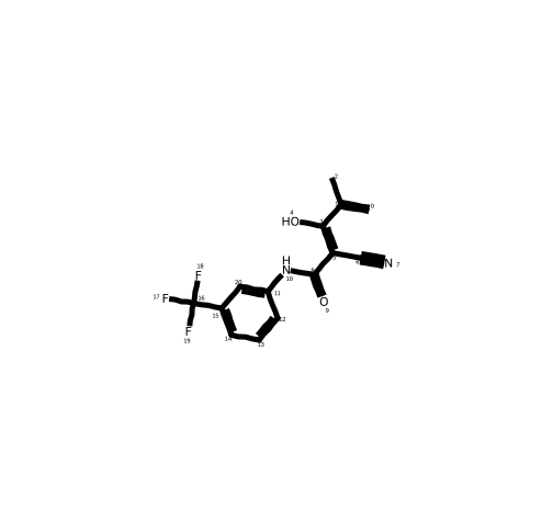 C=C(C)C(O)=C(C#N)C(=O)Nc1cccc(C(F)(F)F)c1